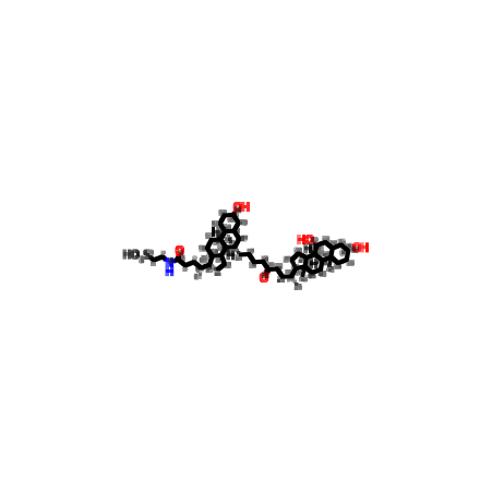 C[C@H](CCC(=O)NCCS(=O)(=O)O)[C@H]1CCC2[C@@H]3[C@@H](CCCCC(=O)CC[C@@H](C)[C@H]4CCC5[C@@H]6[C@@H](O)CC7C[C@H](O)CC[C@]7(C)[C@H]6CC[C@@]54C)CC4C[C@H](O)CC[C@]4(C)[C@H]3CC[C@@]21C